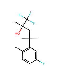 [CH2]C(O)(CC(C)(C)c1cc(F)ccc1C)C(F)(F)F